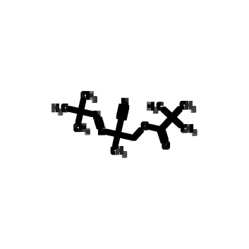 CC(C)(C)/N=N/C(C)(C#N)COC(=O)C(C)(C)C